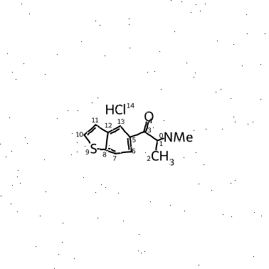 CNC(C)C(=O)c1ccc2sccc2c1.Cl